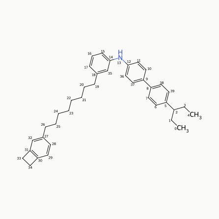 CCC(CC)c1ccc(-c2ccc(Nc3cccc(CCCCCCCCc4ccc5c(c4)CC5)c3)cc2)cc1